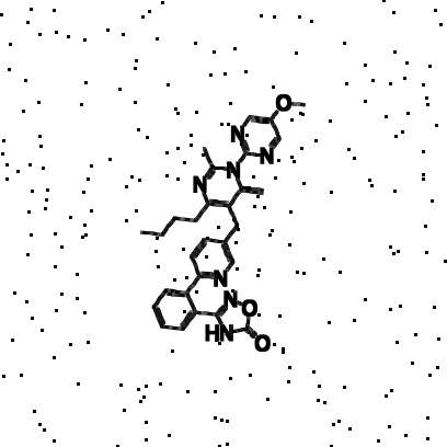 C=C1C(Cc2ccc(-c3ccccc3-c3noc(=O)[nH]3)nc2)=C(CCCC)N=C(C)N1c1ncc(OC)cn1